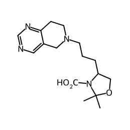 CC1(C)OCC(CCCN2CCc3ncncc3C2)N1C(=O)O